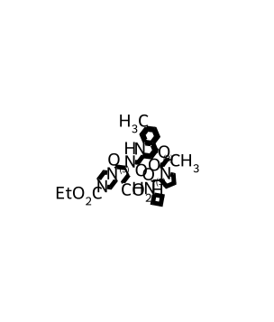 CCOC(=O)N1CCN(C(=O)[C@H](CCC(=O)O)NC(=O)c2cc(O[C@H](C)C(=O)N3CCC[C@H]3C(=O)NC3CCC3)c3ccc(C)cc3n2)CC1